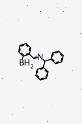 Bc1ccccc1/C=N/C(c1ccccc1)c1ccccc1